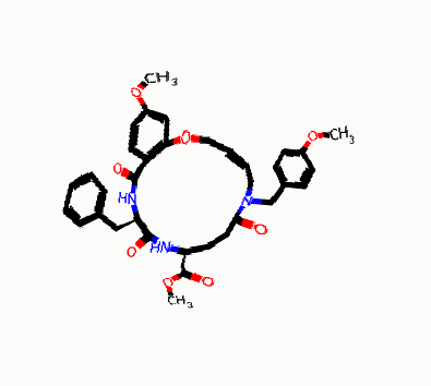 COC(=O)[C@@H]1CCC(=O)N(Cc2ccc(OC)cc2)C/C=C\COc2cc(OC)ccc2C(=O)N[C@H](Cc2ccccc2)C(=O)N1